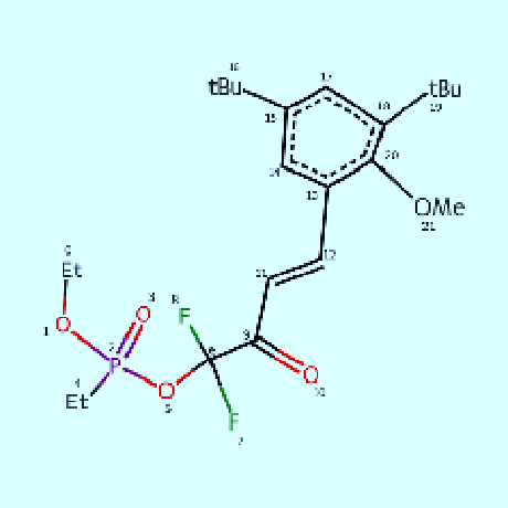 CCOP(=O)(CC)OC(F)(F)C(=O)C=Cc1cc(C(C)(C)C)cc(C(C)(C)C)c1OC